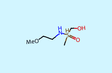 COCCN[SH](C)(=O)CO